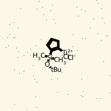 CC(C)(C)O[Si](C)(C)C1=[C]([Ti+2])CC=C1.[Cl-].[Cl-]